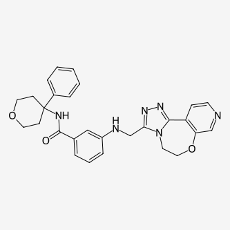 O=C(NC1(c2ccccc2)CCOCC1)c1cccc(NCc2nnc3n2CCOc2cnccc2-3)c1